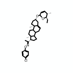 CC[C@H]1OC(O[C@H]2CC[C@@]3(C)C(=CCC4C3CC[C@@]3(C)C4CC[C@@H]3/C(C)=N/Oc3ccc(Cl)cc3)C2)C=C[C@@H]1C